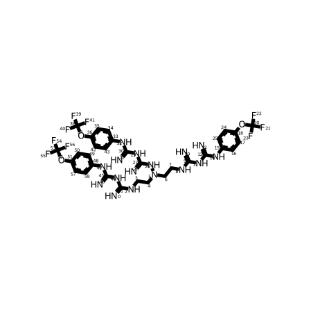 N=C(NCCN(CCNC(=N)NC(=N)Nc1ccc(OC(F)(F)F)cc1)NC(=N)NC(=N)Nc1ccc(OC(F)(F)F)cc1)NC(=N)Nc1ccc(OC(F)(F)F)cc1